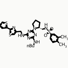 CCCCNc1nc(NCc2csc(-c3cccs3)n2)nc(N2CCC[C@@H]2CNS(=O)(=O)c2ccc(C)c(C)c2)n1